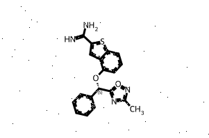 Cc1noc([C@@H](Oc2cccc3sc(C(=N)N)cc23)c2ccccc2)n1